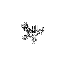 O=C(Nc1cccc(Cl)c1)NC1CC(c2ccccc2)CC(c2ccccc2)N(CC(=O)OC23CC4CC(CC(C4)C2)C3)C1=O